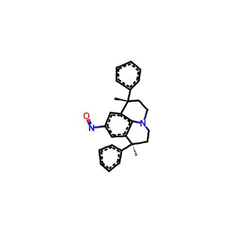 C[C@@]1(c2ccccc2)CCN2CC[C@@](C)(c3ccccc3)c3cc(N=O)cc1c32